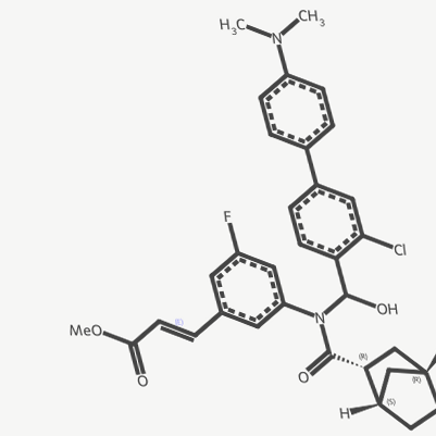 COC(=O)/C=C/c1cc(F)cc(N(C(=O)[C@@H]2C[C@@H]3CC[C@H]2C3)C(O)c2ccc(-c3ccc(N(C)C)cc3)cc2Cl)c1